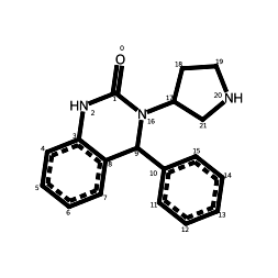 O=C1Nc2ccccc2C(c2ccccc2)N1C1CCNC1